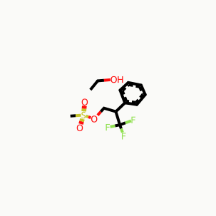 CCO.CS(=O)(=O)OCC(c1ccccc1)C(F)(F)F